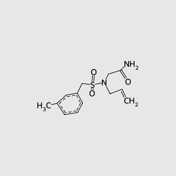 C=CCN(CC(N)=O)S(=O)(=O)Cc1cccc(C)c1